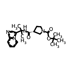 CC(C)(C)OC(=O)N1CC[C@@H](C(=O)NC(C)(C)c2cnc3ccccn23)C1